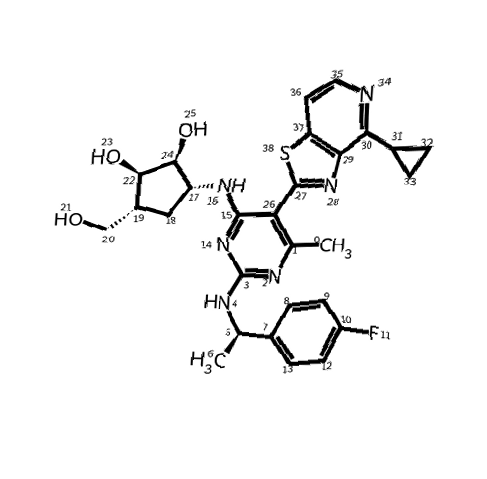 Cc1nc(N[C@H](C)c2ccc(F)cc2)nc(N[C@@H]2C[C@H](CO)[C@@H](O)[C@H]2O)c1-c1nc2c(C3CC3)nccc2s1